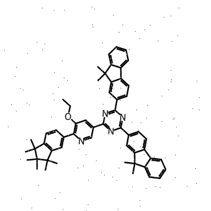 CCOc1cc(-c2nc(-c3ccc4c(c3)C(C)(C)c3ccccc3-4)nc(-c3ccc4c(c3)C(C)(C)c3ccccc3-4)n2)cnc1-c1ccc2c(c1)C(C)(C)C(C)(C)C2(C)C